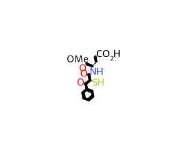 COC(=O)[C@H](CCC(=O)O)NC(=O)[C@@H](S)C(=O)c1ccccc1